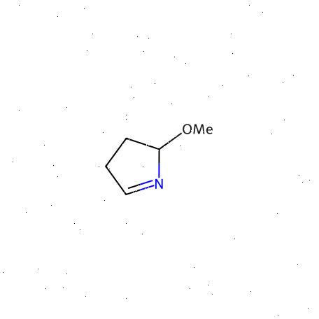 COC1CCC=N1